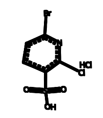 Cl.O=S(=O)(O)c1ccc(Br)nc1Cl